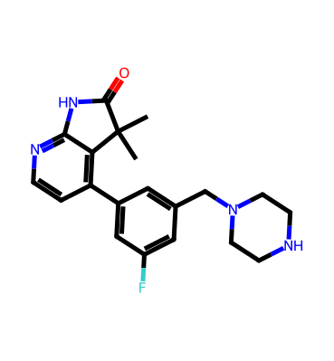 CC1(C)C(=O)Nc2nccc(-c3cc(F)cc(CN4CCNCC4)c3)c21